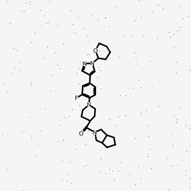 O=C(C1CCN(c2ccc(-c3cnn(C4CCCCO4)c3)cc2F)CC1)N1CC2CCCC2C1